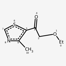 CCOCC(=O)c1s[c]nc1C